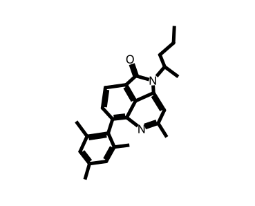 CCCC(C)N1C(=O)c2ccc(-c3c(C)cc(C)cc3C)c3nc(C)cc1c23